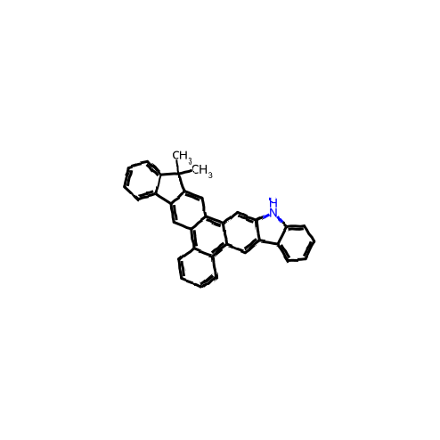 CC1(C)c2ccccc2-c2cc3c4ccccc4c4cc5c(cc4c3cc21)[nH]c1ccccc15